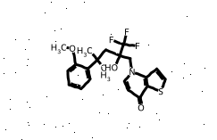 COc1ccccc1C(C)(C)CC(O)(Cn1ccc(=O)c2sccc21)C(F)(F)F